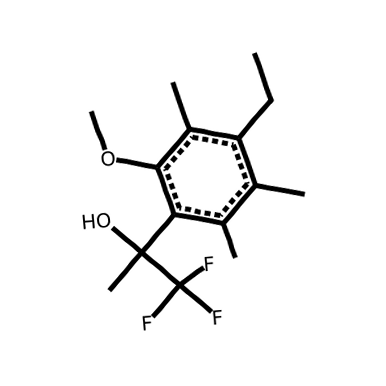 CCc1c(C)c(C)c(C(C)(O)C(F)(F)F)c(OC)c1C